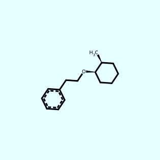 C[C@H]1CCCC[C@H]1OCCc1ccccc1